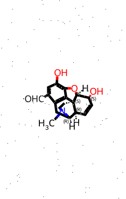 CN1CC[C@]23c4c5c([C]=O)cc(O)c4O[C@H]2[C@@H](O)C=C[C@H]3[C@H]1C5